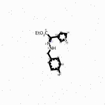 CCOC(=O)/C(=N/NCc1ccc(F)cc1)c1ccsc1